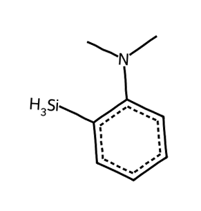 CN(C)c1ccccc1[SiH3]